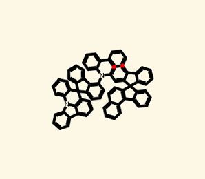 c1ccc(-c2ccccc2N(c2ccc3c(c2)C2(c4ccccc4-3)c3ccccc3-c3c2ccc2ccccc32)c2cccc3c2-c2ccccc2C32c3ccccc3-n3c4ccccc4c4cccc2c43)cc1